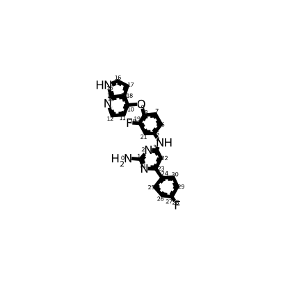 Nc1nc(Nc2ccc(Oc3ccnc4[nH]ccc34)c(F)c2)cc(-c2ccc(F)cc2)n1